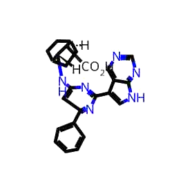 O=C(O)[C@@H]1C2CCC(CC2)[C@H]1Nc1cc(-c2ccccc2)nc(-c2c[nH]c3ncncc23)n1